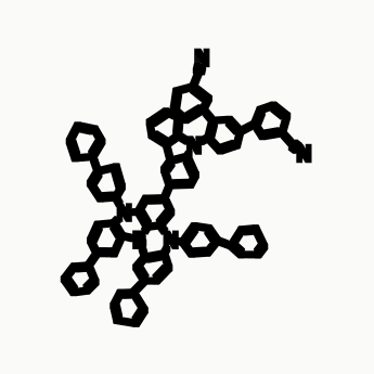 N#Cc1cccc(-c2ccc(-n3c4ccccc4c4cc(-c5cc6c7c(c5)N(c5ccc(-c8ccccc8)cc5)c5ccc(-c8ccccc8)cc5B7c5cc(-c7ccccc7)ccc5N6c5ccc(-c6ccccc6)cc5)ccc43)c(-c3cccc(C#N)c3)c2)c1